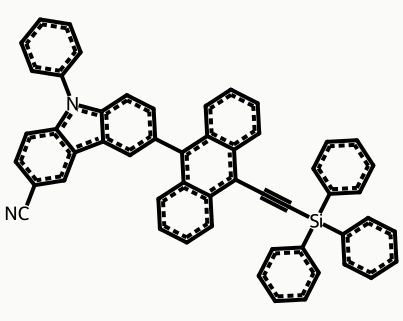 N#Cc1ccc2c(c1)c1cc(-c3c4ccccc4c(C#C[Si](c4ccccc4)(c4ccccc4)c4ccccc4)c4ccccc34)ccc1n2-c1ccccc1